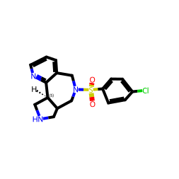 O=S(=O)(c1ccc(Cl)cc1)N1Cc2cccnc2[C@@H]2CNCC2C1